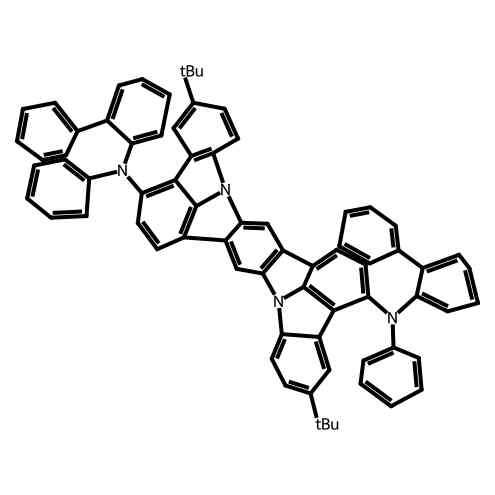 CC(C)(C)c1ccc2c(c1)c1c(N(c3ccccc3)c3ccccc3-c3ccccc3)ccc3c4cc5c(cc4n2c31)c1ccc(N(c2ccccc2)c2ccccc2-c2ccccc2)c2c3cc(C(C)(C)C)ccc3n5c12